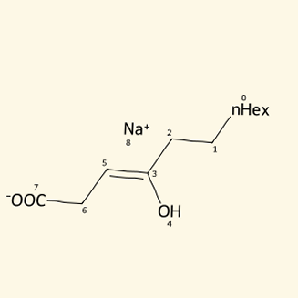 CCCCCCCCC(O)=CCC(=O)[O-].[Na+]